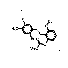 CCOc1cccc(OC(=O)OC)c1COc1cc(F)c(C)cc1Br